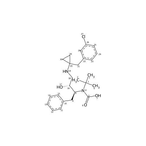 CC(C)(C)N(C(=O)O)[C@@H](Cc1ccccc1)[C@H](O)CNC1(Cc2cccc(Cl)c2)CC1